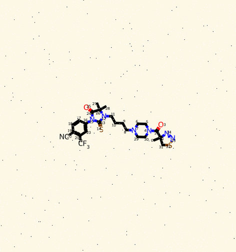 CC1(C(=O)N2CCN(CCCCN3C(=S)N(c4ccc(C#N)c(C(F)(F)F)c4)C(=O)C3(C)C)CC2)CSN=N1